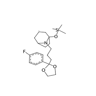 C[Si](C)(C)OC12C[CH]CC(CC1)N2CCCC1(c2ccc(F)cc2)OCCO1